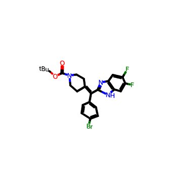 CC(C)(C)OC(=O)N1CCC(=C(c2ccc(Br)cc2)c2nc3cc(F)c(F)cc3[nH]2)CC1